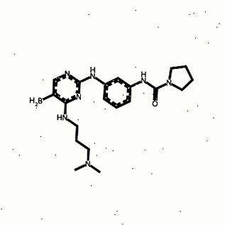 Bc1cnc(Nc2cccc(NC(=O)N3CCCC3)c2)nc1NCCCN(C)C